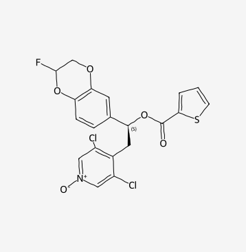 O=C(O[C@@H](Cc1c(Cl)c[n+]([O-])cc1Cl)c1ccc2c(c1)OCC(F)O2)c1cccs1